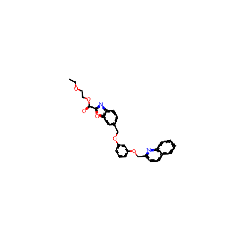 CCOCCOC(=O)c1nc2ccc(COc3cccc(OCc4ccc5ccccc5n4)c3)cc2o1